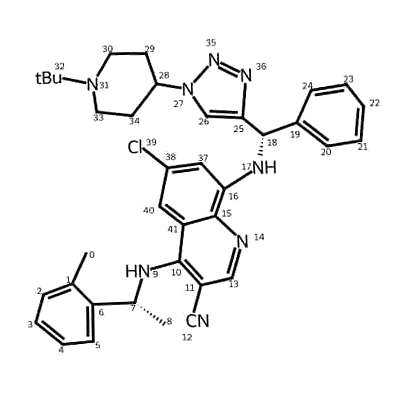 Cc1ccccc1[C@@H](C)Nc1c(C#N)cnc2c(N[C@@H](c3ccccc3)c3cn(C4CCN(C(C)(C)C)CC4)nn3)cc(Cl)cc12